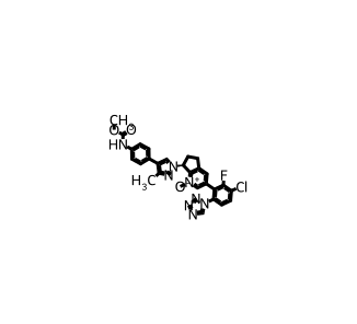 COC(=O)Nc1ccc(-c2cn([C@H]3CCc4cc(-c5c(-n6cnnn6)ccc(Cl)c5F)c[n+]([O-])c43)nc2C)cc1